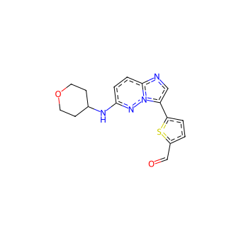 O=Cc1ccc(-c2cnc3ccc(NC4CCOCC4)nn23)s1